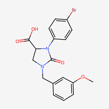 COc1cccc(CN2CC(C(=O)O)N(c3ccc(Br)cc3)C2=O)c1